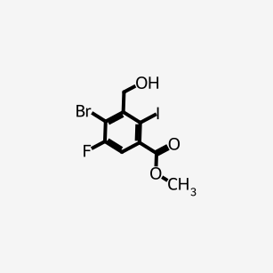 COC(=O)c1cc(F)c(Br)c(CO)c1I